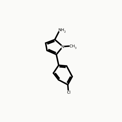 Cn1c(N)ccc1-c1ccc(Cl)cc1